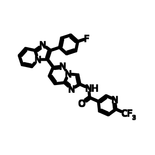 O=C(Nc1cn2nc(-c3c(-c4ccc(F)cc4)nc4ccccn34)ccc2n1)c1ccc(C(F)(F)F)nc1